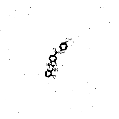 Cc1ccc(NC(=O)C2=CCC3NC(Nc4c(Cl)cccc4Cl)=NC3=C2)cc1